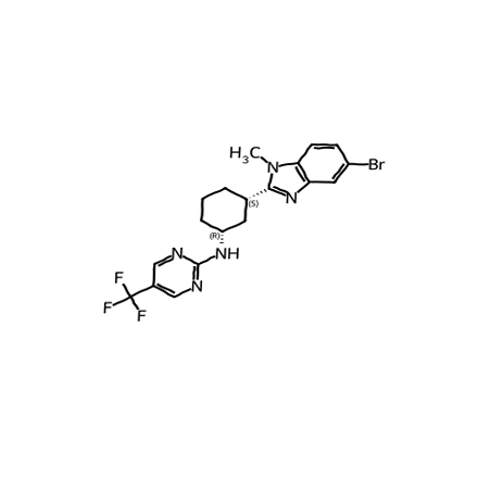 Cn1c([C@H]2CCC[C@@H](Nc3ncc(C(F)(F)F)cn3)C2)nc2cc(Br)ccc21